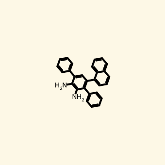 Nc1c(-c2ccccc2)cc(-c2cccc3ccccc23)c(-c2ccccc2)c1N